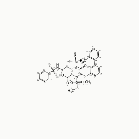 CCS(=O)(=O)N(CC(=O)O)N(C(=O)[C@H](CCCNS(=O)(=O)c1ccccc1)C(F)(F)F)[C@@H](C)c1cccc(-c2ccncc2C)c1